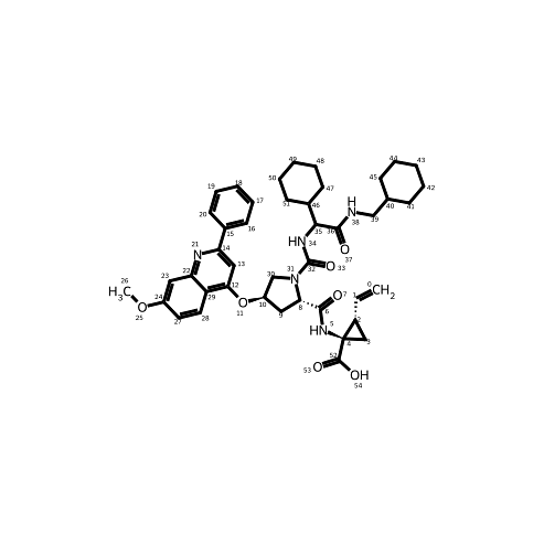 C=C[C@@H]1C[C@]1(NC(=O)[C@@H]1C[C@@H](Oc2cc(-c3ccccc3)nc3cc(OC)ccc23)CN1C(=O)NC(C(=O)NCC1CCCCC1)C1CCCCC1)C(=O)O